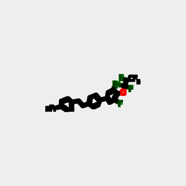 CCCc1ccc(CCc2ccc(-c3cc(F)c(OC(F)(F)C(F)C(F)(F)F)c(F)c3)cc2)cc1